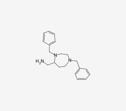 NCC1CCN(Cc2ccccc2)CCN1Cc1ccccc1